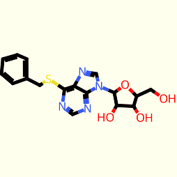 OCC1OC(n2cnc3c(SCc4ccccc4)ncnc32)C(O)C1O